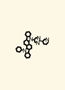 c1ccc(-n2c3ccccc3c3ccc4c(ccc5c6ccccc6n(-c6cnc(-c7cccnc7)nc6)c54)c32)cc1